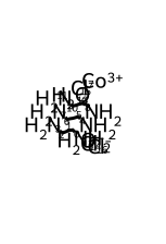 NCCN.NCCN.NCCN.O.O.[Cl-].[Cl-].[Cl-].[Co+3]